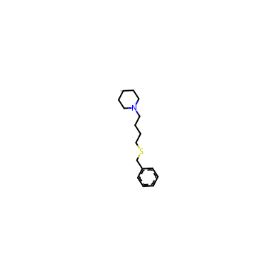 [CH]1CCN(CCCCSCc2ccccc2)CC1